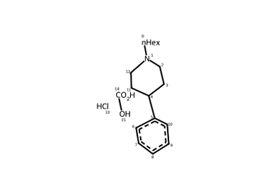 CCCCCCN1CCC(c2ccccc2)CC1.Cl.O=C(O)O